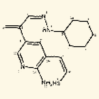 C=C(/C=N\NC1CCCCC1)c1cnc(N)c(/C=C\S)c1